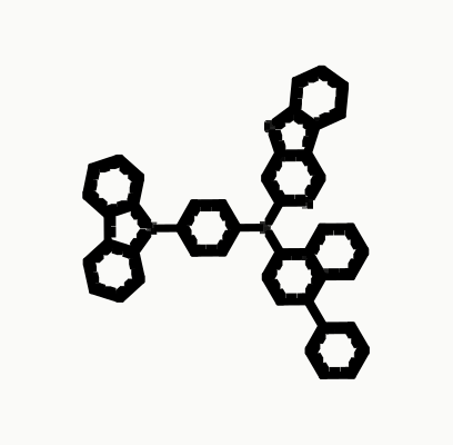 c1ccc(-c2ccc(N(c3ccc(-n4c5ccccc5c5ccccc54)cc3)c3cc4oc5ccccc5c4cn3)c3ccccc23)cc1